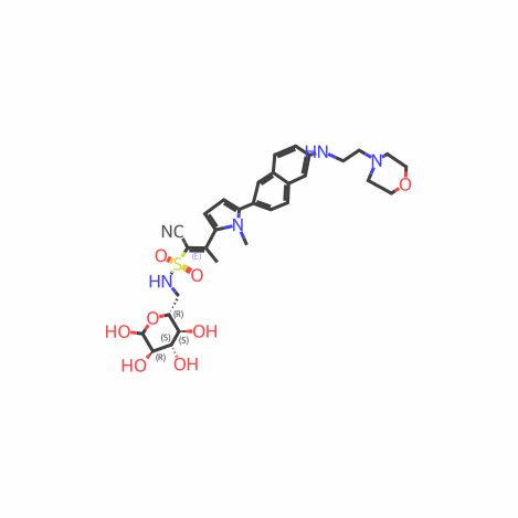 C/C(=C(/C#N)S(=O)(=O)NC[C@H]1OC(O)[C@H](O)[C@@H](O)[C@@H]1O)c1ccc(-c2ccc3cc(NCCN4CCOCC4)ccc3c2)n1C